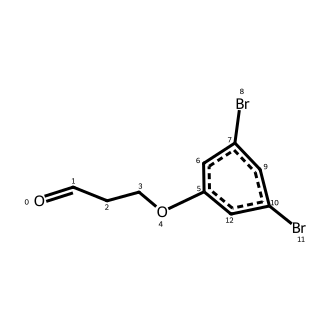 O=CCCOc1cc(Br)cc(Br)c1